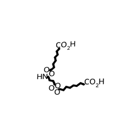 N=C(CCC(=O)OC(=O)CCCCCCCC(=O)O)OC(=O)CCCCCCCC(=O)O